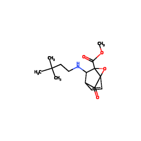 COC(=O)C12OC13C=CC(C3=O)C2NCCC(C)(C)C